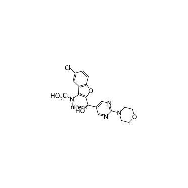 CCCCCN(C(=O)O)c1c(C(O)c2cnc(N3CCOCC3)nc2)oc2ccc(Cl)cc12